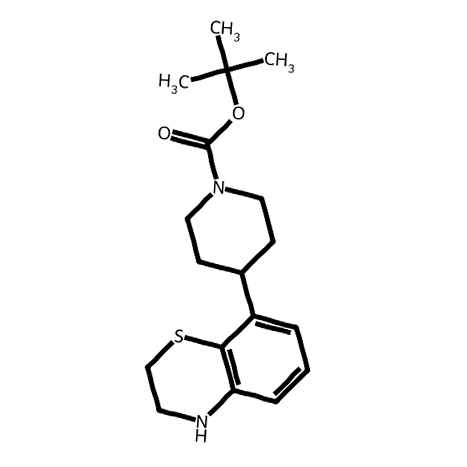 CC(C)(C)OC(=O)N1CCC(c2cccc3c2SCCN3)CC1